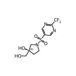 O=S(=O)(c1cnc(C(F)(F)F)nc1)N1CC[C@](O)(CO)C1